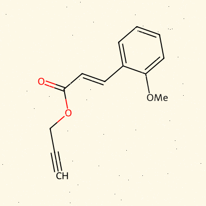 C#CCOC(=O)C=Cc1ccccc1OC